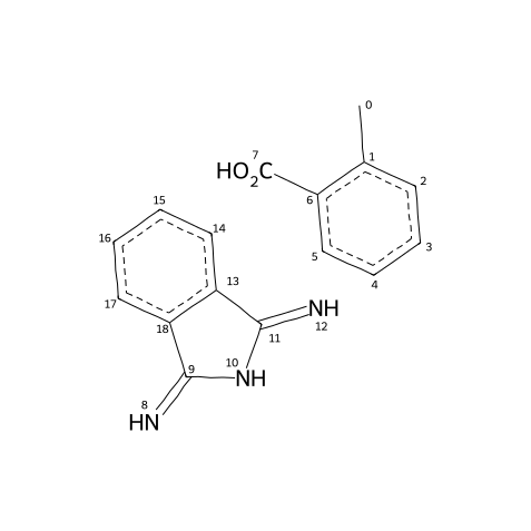 Cc1ccccc1C(=O)O.N=C1NC(=N)c2ccccc21